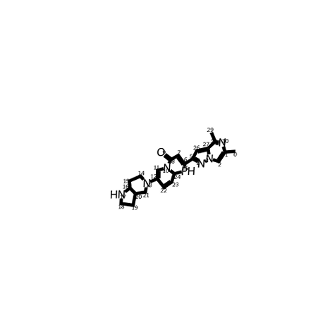 Cc1cn2nc(C3=CC(=O)N4C=C(N5CCC6NCCC6C5)C=CC4P3)cc2c(C)n1